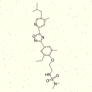 CCc1cc(-c2noc(-c3cc(C)c(CC(C)C)cn3)n2)cc(C)c1OCCNS(=O)(=O)N(C)C